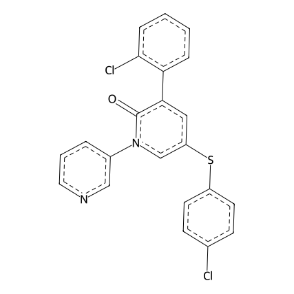 O=c1c(-c2ccccc2Cl)cc(Sc2ccc(Cl)cc2)cn1-c1cccnc1